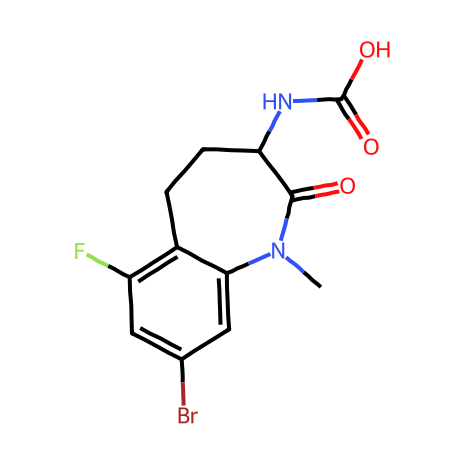 CN1C(=O)C(NC(=O)O)CCc2c(F)cc(Br)cc21